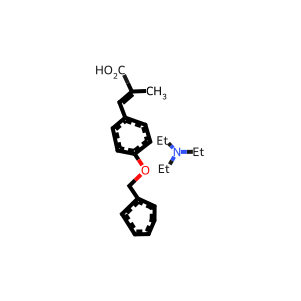 CC(=Cc1ccc(OCc2ccccc2)cc1)C(=O)O.CCN(CC)CC